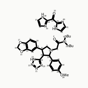 CCCCN(CCCC)C(=O)CN1CC(c2ccc3c(c2)OCO3)C(c2nnn[nH]2)C1c1ccc(OC)cc1.O=C(c1ncc[nH]1)c1ncc[nH]1